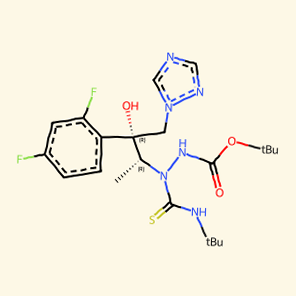 C[C@@H](N(NC(=O)OC(C)(C)C)C(=S)NC(C)(C)C)[C@](O)(Cn1cncn1)c1ccc(F)cc1F